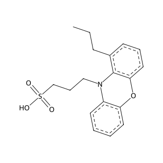 CCCc1cccc2c1N(CCCS(=O)(=O)O)c1ccccc1O2